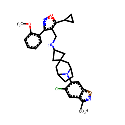 O=C(O)c1nsc2cc(N3C4CCC3CC3(CC(NCc5c(-c6ccccc6OC(F)(F)F)noc5C5CC5)C3)C4)c(Cl)cc12